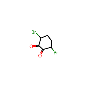 O=C1C(=O)C(Br)CCC1Br